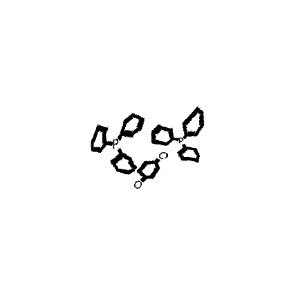 O=C1C=CC(=O)C=C1.c1ccc(P(c2ccccc2)c2ccccc2)cc1.c1ccc(P(c2ccccc2)c2ccccc2)cc1